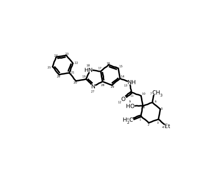 C=C1CC(CC)CC(C)C1(O)CC(=O)Nc1ccc2[nH]c(Cc3ccccc3)nc2c1